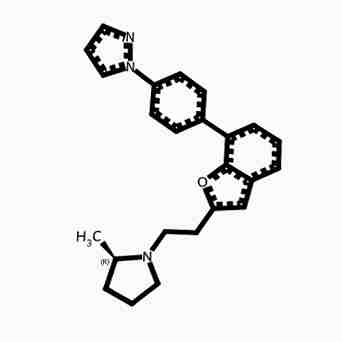 C[C@@H]1CCCN1CCc1cc2cccc(-c3ccc(-n4cccn4)cc3)c2o1